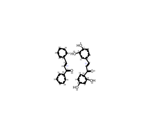 O=C(/C=C/c1ccc(O)c(O)c1)c1ccc(O)cc1O.O=C(/C=C/c1ccccc1)c1ccccc1